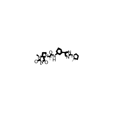 C[C@H]1CCCN1c1ncc(-c2cccc(NC(=O)[C@H](C)n3ccc4c3c(=O)n(C)c(=O)n4C)c2)cn1